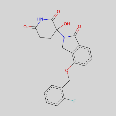 O=C1CCC(O)(N2Cc3c(OCc4ccccc4F)cccc3C2=O)C(=O)N1